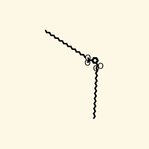 CCCCCCCCCCCCCCCCCCCCOC(=O)c1cccc(C(=O)OCCCCCCCCCCCCCCCCCCCC)c1